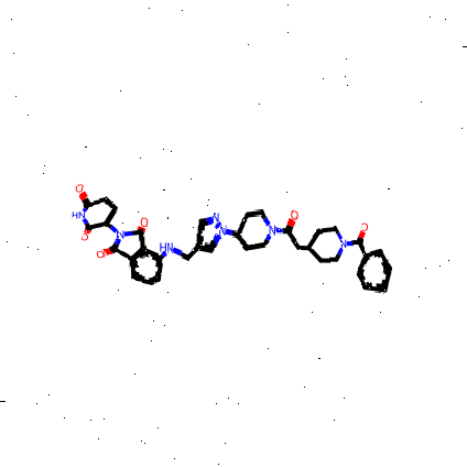 O=C1CCC(N2C(=O)c3cccc(NCc4cnn(C5CCN(C(=O)CC6CCN(C(=O)c7ccccc7)CC6)CC5)c4)c3C2=O)C(=O)N1